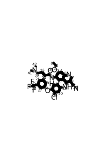 CCOc1cc2ncc(C#N)c(Nc3ccc(Oc4cccc(C(F)(F)F)c4)c(Cl)c3)c2cc1NC(=O)/C=C/CN(C)C